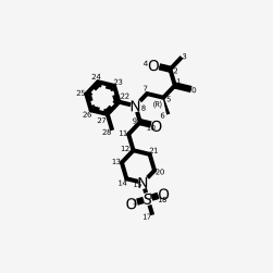 C=C(C(C)=O)[C@@H](C)CN(C(=O)CC1CCN(S(C)(=O)=O)CC1)c1ccccc1C